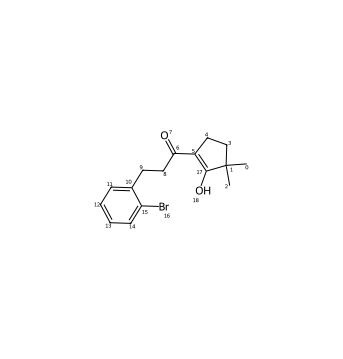 CC1(C)CCC(C(=O)CCc2ccccc2Br)=C1O